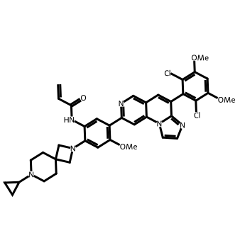 C=CC(=O)Nc1cc(-c2cc3c(cn2)cc(-c2c(Cl)c(OC)cc(OC)c2Cl)c2nccn23)c(OC)cc1N1CC2(CCN(C3CC3)CC2)C1